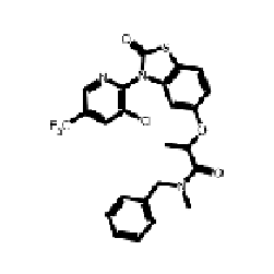 CC(Oc1ccc2sc(=O)n(-c3ncc(C(F)(F)F)cc3Cl)c2c1)C(=O)N(C)Cc1ccccc1